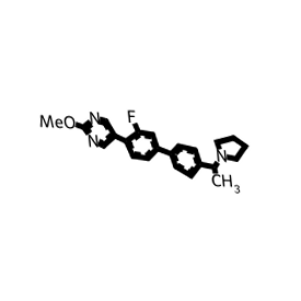 COc1ncc(-c2ccc(-c3ccc(C(C)N4CCCC4)cc3)cc2F)cn1